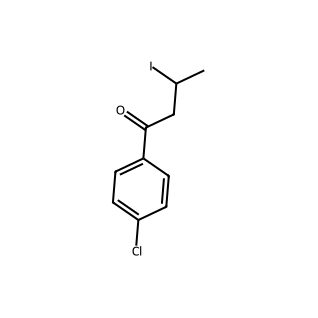 CC(I)CC(=O)c1ccc(Cl)cc1